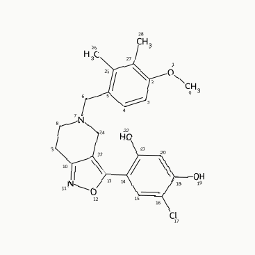 COc1ccc(CN2CCc3noc(-c4cc(Cl)c(O)cc4O)c3C2)c(C)c1C